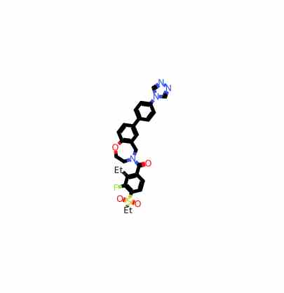 CCc1c(C(=O)N2CCOc3ccc(-c4ccc(-n5cnnc5)cc4)cc3C2)ccc(S(=O)(=O)CC)c1F